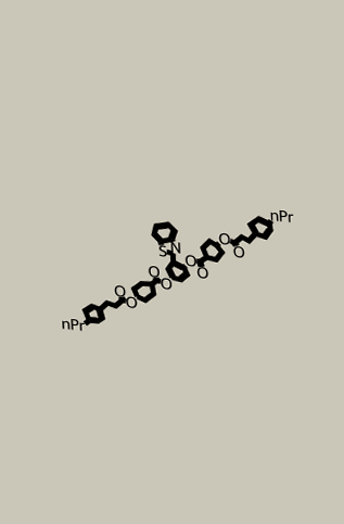 CCCc1ccc(CCC(=O)OC2CCC(C(=O)Oc3ccc(OC(=O)C4CCC(OC(=O)CCc5ccc(CCC)cc5)CC4)c(-c4nc5ccccc5s4)c3)CC2)cc1